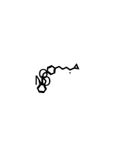 [CH](CCCc1ccc(Oc2nc3ccccc3o2)cc1)C1CC1